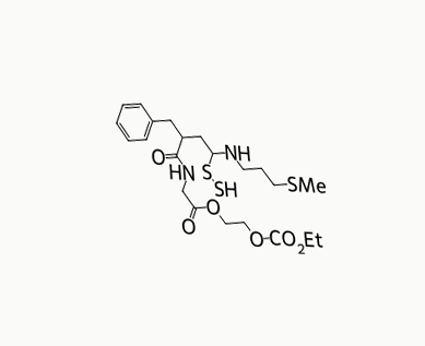 CCOC(=O)OCCOC(=O)CNC(=O)C(Cc1ccccc1)CC(NCCCSC)SS